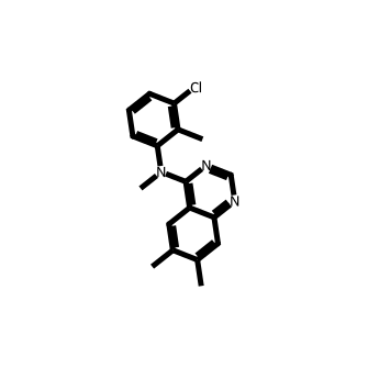 Cc1cc2ncnc(N(C)c3cccc(Cl)c3C)c2cc1C